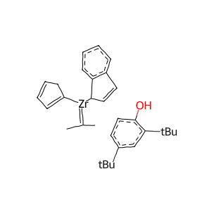 CC(C)(C)c1ccc(O)c(C(C)(C)C)c1.C[C](C)=[Zr]([C]1=CC=CC1)[CH]1C=Cc2ccccc21